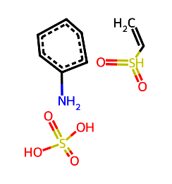 C=C[SH](=O)=O.Nc1ccccc1.O=S(=O)(O)O